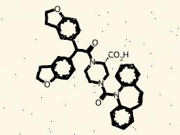 O=C(O)[C@@H]1CN(C(=O)N2c3ccccc3C=Cc3ccccc32)CCN1C(=O)C(c1ccc2c(c1)CCO2)c1ccc2c(c1)CCO2